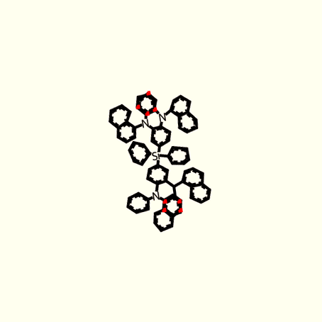 c1ccc(C(c2cc([Si](c3ccccc3)(c3ccccc3)c3ccc(N(c4ccccc4)c4cccc5ccccc45)c(N(c4ccccc4)c4cccc5ccccc45)c3)ccc2N(c2ccccc2)c2cccc3ccccc23)c2cccc3ccccc23)cc1